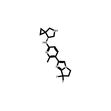 Cc1nc(N[C@@H]2CNCC23CC3)ccc1-c1cn2c(n1)C(F)(F)CC2